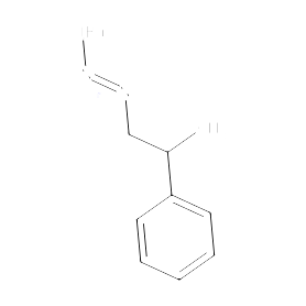 CC(C/N=N/C(C)(C)C)c1ccccc1